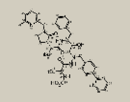 CC[C@H](C)[C@@H](C(=O)N[C@@H](Cc1ccccc1)[C@@H](O)CN(Cc1ccc(-c2ccccn2)cc1)NC(=O)[C@@H](NC(=O)O)C(C)(C)C)N1CCN(Cc2cccc(C)n2)C1=O